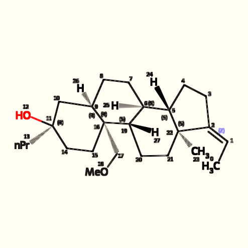 C/C=C1/CC[C@H]2[C@@H]3CC[C@@H]4C[C@@](O)(CCC)CC[C@]4(COC)[C@H]3CC[C@]12C